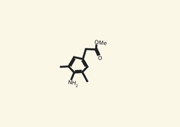 COC(=O)Cc1cc(C)c(N)c(C)c1